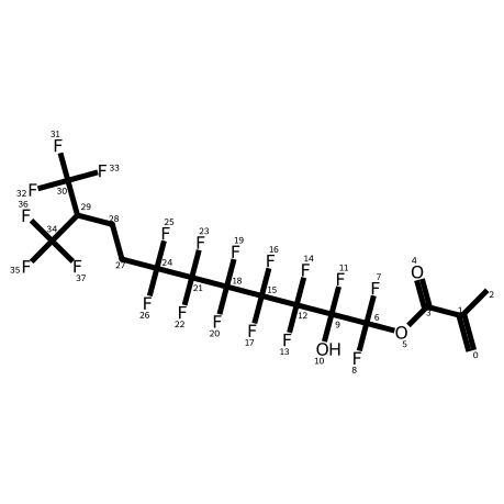 C=C(C)C(=O)OC(F)(F)C(O)(F)C(F)(F)C(F)(F)C(F)(F)C(F)(F)C(F)(F)CCC(C(F)(F)F)C(F)(F)F